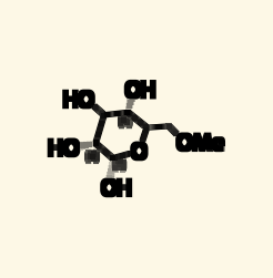 COCC1O[C@H](O)[C@H](O)C(O)[C@@H]1O